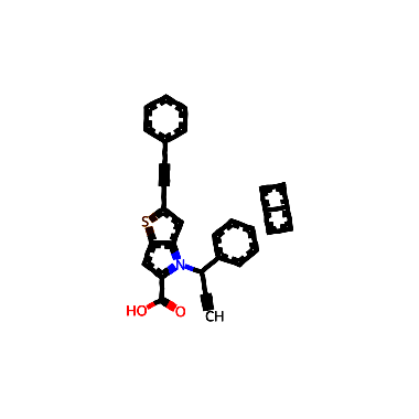 C#CC(c1ccccc1)n1c(C(=O)O)cc2sc(C#Cc3ccccc3)cc21.c1cc2ccc1-2